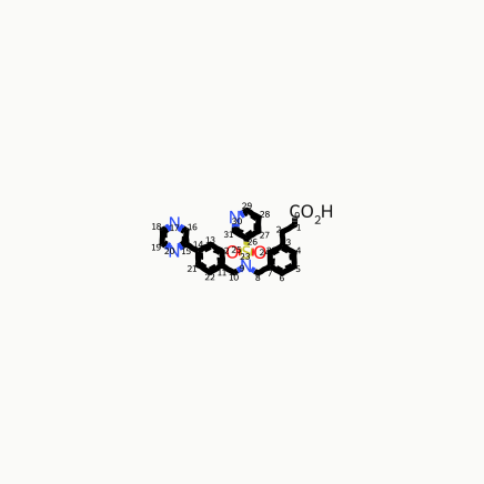 O=C(O)CCc1cccc(CN(Cc2ccc(-c3cnccn3)cc2)S(=O)(=O)c2cccnc2)c1